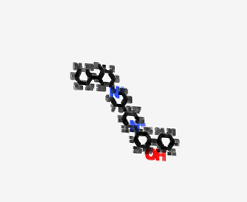 Cc1ccc(-[n+]2ccc(-c3cc[n+](-c4ccc(O)c(-c5ccccc5)c4)cc3)cc2)cc1-c1ccccc1